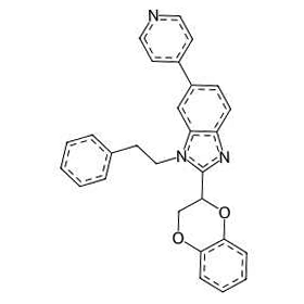 c1ccc(CCn2c(C3COc4ccccc4O3)nc3ccc(-c4ccncc4)cc32)cc1